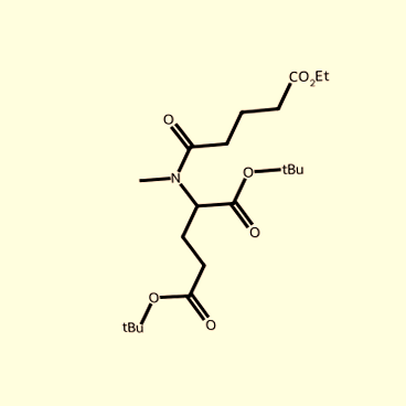 CCOC(=O)CCCC(=O)N(C)C(CCC(=O)OC(C)(C)C)C(=O)OC(C)(C)C